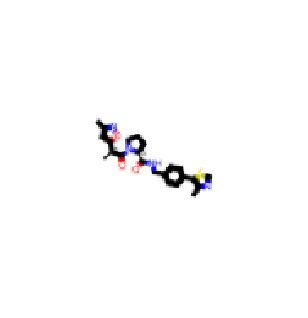 Cc1cc([C@H](C)C(=O)N2CCC[C@H]2C(=O)NCc2ccc(-c3scnc3C)cc2)on1